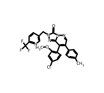 COc1cc(Cl)ccc1-c1c(-c2ccc(C)cc2)cnn2c(=O)n(Cc3ccc(C(F)(F)F)nc3)nc12